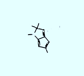 CC1=CC2=C[C](Br)([Zr])N(C)C2=C1.Cl.Cl.Cl